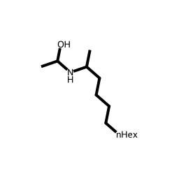 CCCCCCCCCCC(C)NC(C)O